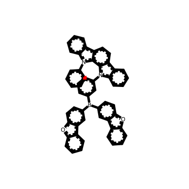 c1ccc(-n2c3ccccc3c3ccc4c5ccccc5n(-c5cccc(B(c6ccc7oc8ccccc8c7c6)c6ccc7oc8ccccc8c7c6)c5)c4c32)cc1